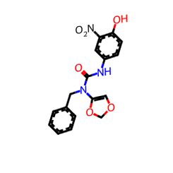 O=C(Nc1ccc(O)c([N+](=O)[O-])c1)N(Cc1ccccc1)C1=COCO1